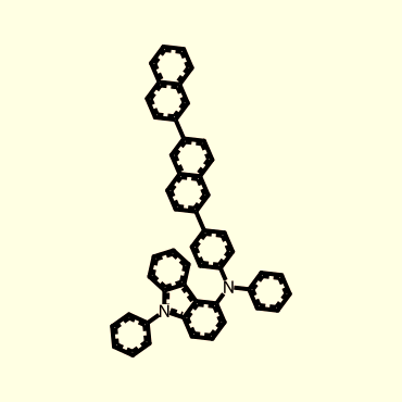 c1ccc(N(c2ccc(-c3ccc4cc(-c5ccc6ccccc6c5)ccc4c3)cc2)c2cccc3c2c2ccccc2n3-c2ccccc2)cc1